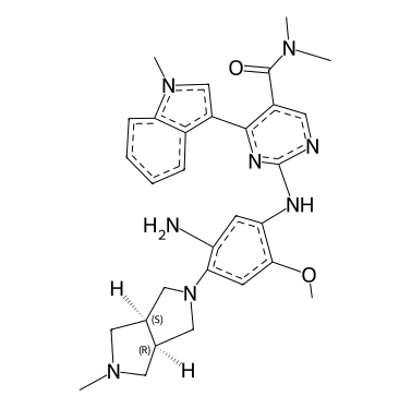 COc1cc(N2C[C@H]3CN(C)C[C@H]3C2)c(N)cc1Nc1ncc(C(=O)N(C)C)c(-c2cn(C)c3ccccc23)n1